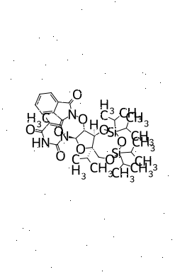 Cc1cn([C@@H]2O[C@]3(C(C)C)CO[Si](C(C)C)(C(C)C)O[Si](C(C)C)(C(C)C)O[C@@H]3C2ON2C(=O)c3ccccc3C2=O)c(=O)[nH]c1=O